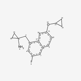 NC1(Cc2cc(F)cc3ccc(OC4CC4)cc23)CC1